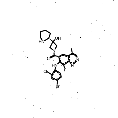 Cc1cnnc2c(F)c(Nc3ccc(Br)cc3Cl)c(C(=O)N3CC(O)([C@@H]4CCCCN4)C3)cc12